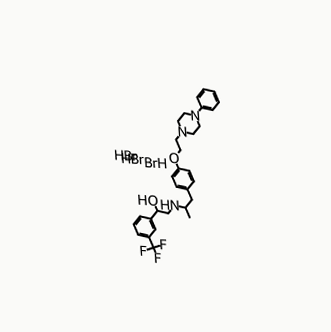 Br.Br.Br.CC(Cc1ccc(OCCN2CCN(c3ccccc3)CC2)cc1)NCC(O)c1cccc(C(F)(F)F)c1